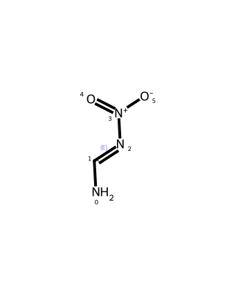 N/[C]=N/[N+](=O)[O-]